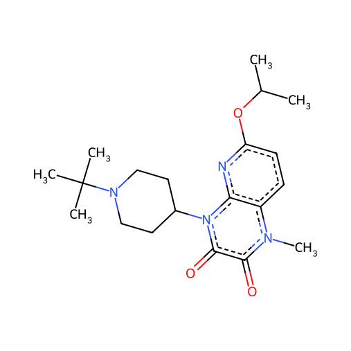 CC(C)Oc1ccc2c(n1)n(C1CCN(C(C)(C)C)CC1)c(=O)c(=O)n2C